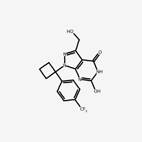 O=c1[nH]c(O)nc2c1c(CO)nn2C1(c2ccc(C(F)(F)F)cc2)CCC1